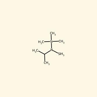 CC(C)N([SiH3])[Si](C)(C)C